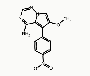 COc1cn2ncnc(N)c2c1-c1ccc([N+](=O)[O-])cc1